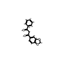 O=C(CC(=O)c1ccc2c(c1)OCO2)c1ccccc1